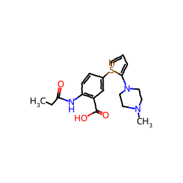 CCC(=O)Nc1ccc([SH]2C=CC=C2N2CCN(C)CC2)cc1C(=O)O